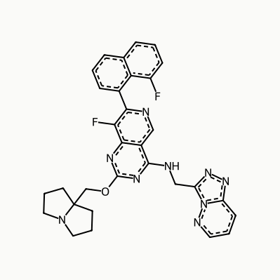 Fc1c(-c2cccc3cccc(F)c23)ncc2c(NCc3nnc4cccnn34)nc(OCC34CCCN3CCC4)nc12